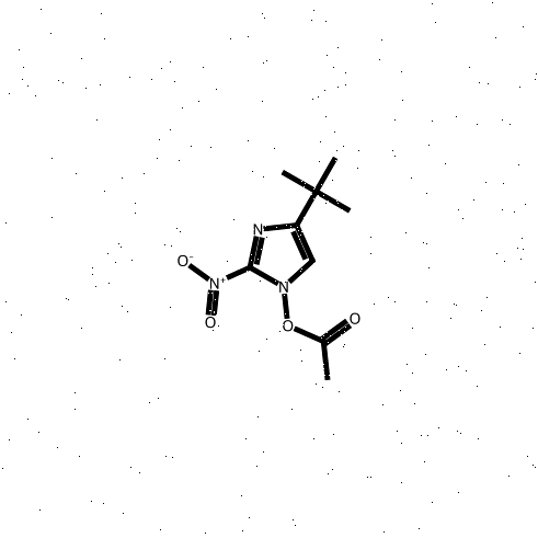 CC(=O)On1cc(C(C)(C)C)nc1[N+](=O)[O-]